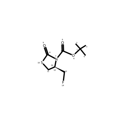 CC(C)(C)OC(=O)N1C(=O)SC[C@@H]1CF